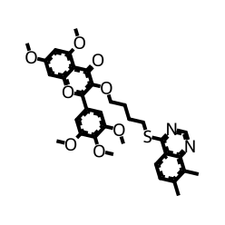 COc1cc(OC)c2c(=O)c(OCCCCSc3ncnc4c(C)c(C)ccc34)c(-c3cc(OC)c(OC)c(OC)c3)oc2c1